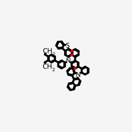 C=Cc1ccc(-c2cccc(N(c3ccc4sc5ccccc5c4c3)c3ccc(C4=CC=CCC4n4c5ccccc5c5c6ccccc6ccc54)cc3-c3ccccc3)c2)cc1C=C